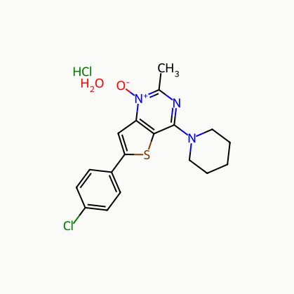 Cc1nc(N2CCCCC2)c2sc(-c3ccc(Cl)cc3)cc2[n+]1[O-].Cl.O